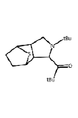 CC(C)(C)C(=O)C1C2C3CCC(S3)C2CN1C(C)(C)C